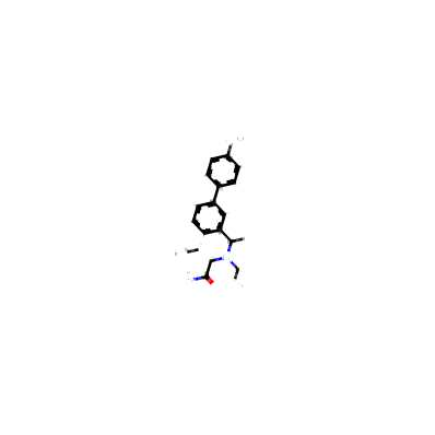 CSc1ccc(-c2cccc(C(N(CC#N)[C@@H](CC(C)C)C(N)=O)C(F)(F)F)c2)cc1